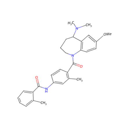 COc1ccc2c(c1)C(N(C)C)CCCN2C(=O)c1ccc(NC(=O)c2ccccc2C)cc1C